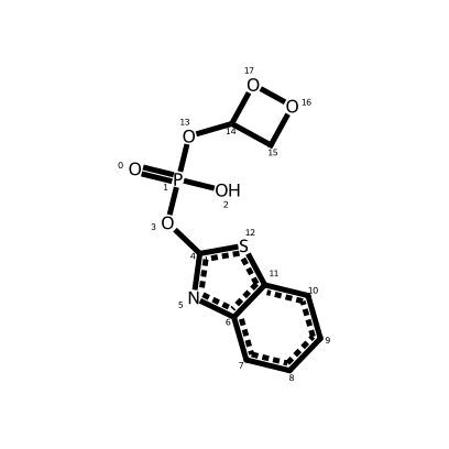 O=P(O)(Oc1nc2ccccc2s1)OC1COO1